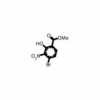 COC(=O)c1ccc(Br)c([N+](=O)[O-])c1O